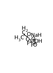 C=C(C)C(=O)OCC(F)(F)S(=O)(=O)O.[NaH]